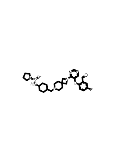 O=Cc1cc(F)ccc1Oc1cncnc1N1CC2(CCN(CC3CCC(N[S+]([O-])N4CCCC4)CC3)CC2)C1